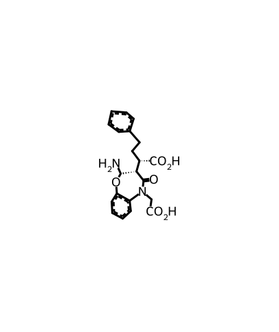 NC1Oc2ccccc2N(CC(=O)O)C(=O)[C@H]1[C@H](CCc1ccccc1)C(=O)O